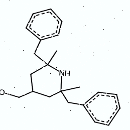 CC1(Cc2ccccc2)CC(CO)CC(C)(Cc2ccccc2)N1